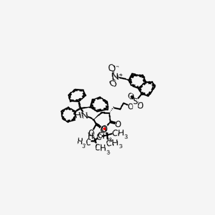 CC(C)(C)OC(=O)[C@@H](CCCOS(=O)(=O)c1cccc2ccc([N+](=O)[O-])cc12)C[C@H](NC(c1ccccc1)(c1ccccc1)c1ccccc1)C(=O)OC(C)(C)C